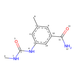 CNC(=O)Nc1cc(C)cc(C(N)=O)c1